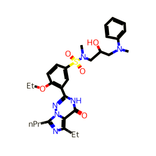 CCCc1nc(CC)c2c(=O)[nH]c(-c3cc(S(=O)(=O)N(C)CC(O)CN(C)c4ccccc4)ccc3OCC)nn12